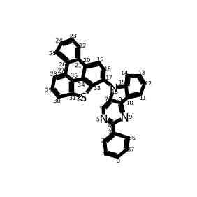 c1ccc(-c2ncc3c(n2)c2ccccc2n3-c2ccc3c4ccccc4c4cccc5sc2c3c54)cc1